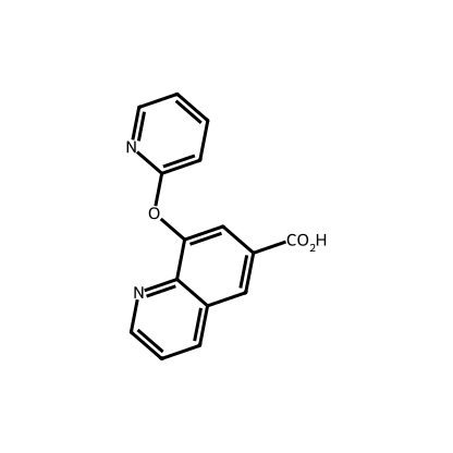 O=C(O)c1cc(Oc2ccccn2)c2ncccc2c1